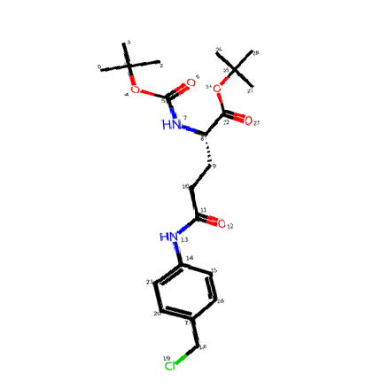 CC(C)(C)OC(=O)N[C@@H](CCC(=O)Nc1ccc(CCl)cc1)C(=O)OC(C)(C)C